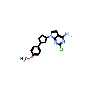 COc1ccc(C2CCC(n3ccc4c(N)nc(Cl)nc43)C2)cc1